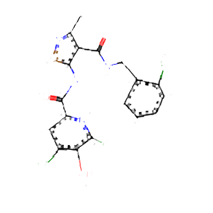 Cc1nsc(NC(=O)c2cc(Cl)c(O)c(Cl)n2)c1C(=O)NCc1ccccc1F